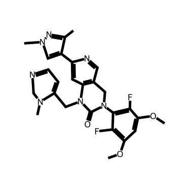 COc1cc(OC)c(F)c(N2Cc3cnc(-c4cn(C)nc4C)cc3N(CC3=CC=NCN3C)C2=O)c1F